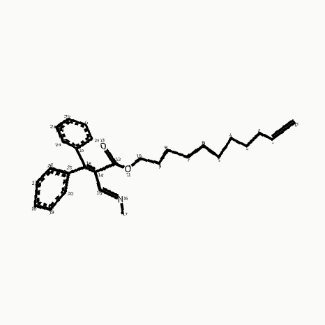 C=CCCCCCCCCCOC(=O)C(/C=N/C)=C(c1ccccc1)c1ccccc1